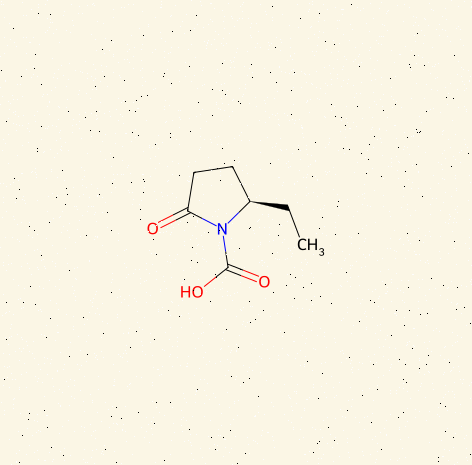 CC[C@@H]1CCC(=O)N1C(=O)O